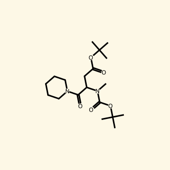 CN(C(=O)OC(C)(C)C)C(CC(=O)OC(C)(C)C)C(=O)N1CCCCC1